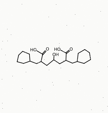 O=C(O)C(CC(O)CC(CC1CCCCC1)C(=O)O)CC1CCCCC1